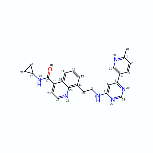 Cc1ccc(-c2cc(NCCc3cccc4c(C(=O)NC5CC5)ccnc34)ncn2)cn1